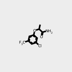 CC(Oc1cc(Cl)cc(C(F)(F)F)c1)C(N)=O